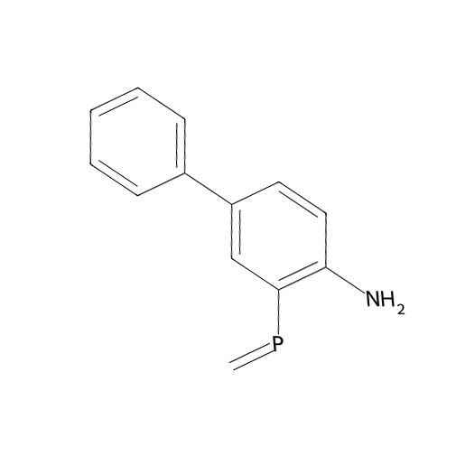 C=Pc1cc(-c2ccccc2)ccc1N